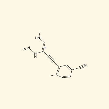 C=NN/C(C#Cc1cc(C#N)ccc1C)=C\NC